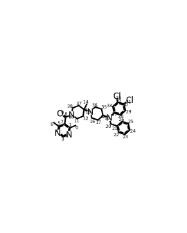 Cc1ncnc(C)c1C(=O)N1CCC(C)(N2CCC(N(Cc3ccccc3)c3ccc(Cl)c(Cl)c3)CC2)CC1